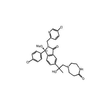 CO[C@]1(c2ccc(Cl)cc2)c2ccc(C(C)(O)CN3CCNC(=O)CC3)cc2C(=O)N1Cc1ccc(Cl)cn1